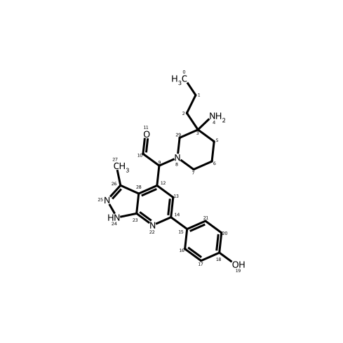 CCCC1(N)CCCN(C(C=O)c2cc(-c3ccc(O)cc3)nc3[nH]nc(C)c23)C1